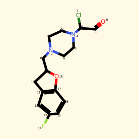 O=CC(Cl)N1CCN(CC2Cc3cc(F)ccc3O2)CC1